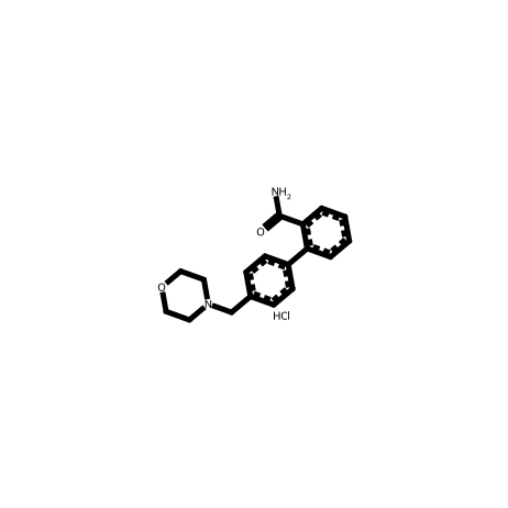 Cl.NC(=O)c1ccccc1-c1ccc(CN2CCOCC2)cc1